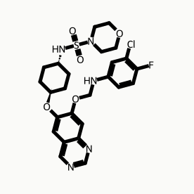 O=S(=O)(N[C@H]1CC[C@H](Oc2cc3cncnc3cc2OCNc2ccc(F)c(Cl)c2)CC1)N1CCOCC1